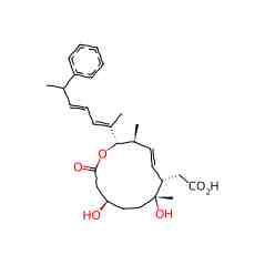 C/C(=C\C=C\C(C)c1ccccc1)[C@H]1OC(=O)C[C@H](O)CC[C@@](C)(O)[C@@H](CC(=O)O)/C=C/[C@@H]1C